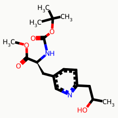 COC(=O)[C@H](Cc1ccc(CC(C)O)nc1)NC(=O)OC(C)(C)C